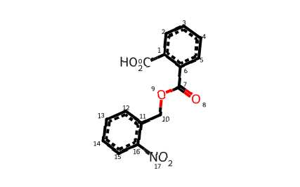 O=C(O)c1ccccc1C(=O)OCc1ccccc1[N+](=O)[O-]